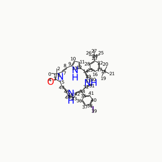 CC1(C)C(=O)C2=NC/1=C\c1ccc([nH]1)/C(c1cc(C(C)(C)C)cc(C(C)(C)C)c1)=C1/CC=C(N1)/C(c1ccc(I)cc1)=c1/cc/c([nH]1)=C/2